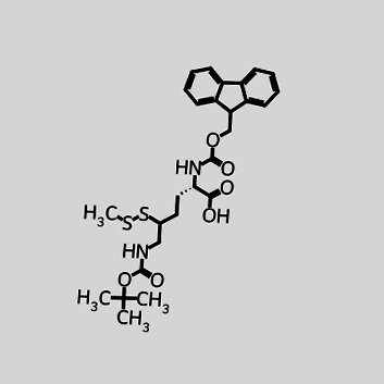 CSSC(CC[C@H](NC(=O)OCC1c2ccccc2-c2ccccc21)C(=O)O)CNC(=O)OC(C)(C)C